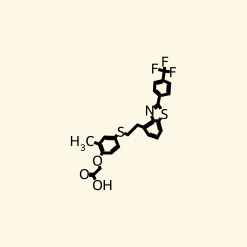 Cc1cc(SCCc2cccc3sc(-c4ccc(C(F)(F)F)cc4)nc23)ccc1OCC(=O)O